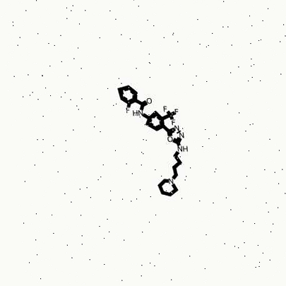 O=C(Nc1ccc(-c2nnc(NCCCCN3CCCCC3)o2)c(C(F)(F)F)c1)c1ccccc1F